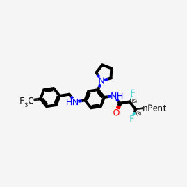 CCCCC[C@@H](F)[C@@H](F)C(=O)Nc1ccc(NCc2ccc(C(F)(F)F)cc2)cc1N1CCCC1